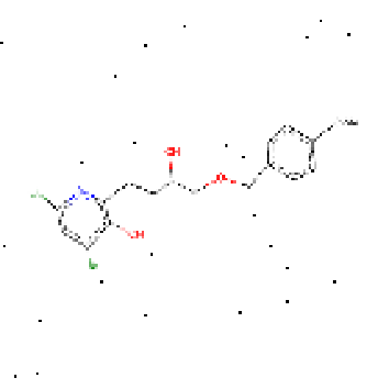 COc1ccc(COCC(O)CCc2nc(Cl)cc(Br)c2O)cc1